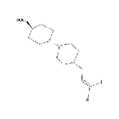 CCCCCCCC[C@H]1CC[C@H](C2CCC(CC=C(F)F)CC2)CC1